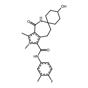 Cc1cc(NC(=O)c2c3c(c(C)n2C)C(=O)NC2(CC3)CCC(O)CC2)ccc1F